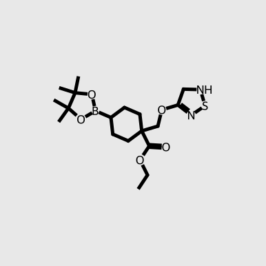 CCOC(=O)C1(COC2=NSNC2)CCC(B2OC(C)(C)C(C)(C)O2)CC1